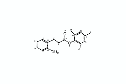 Cc1cc(C)c(OC(=O)CCc2ccccc2N)c(C)c1